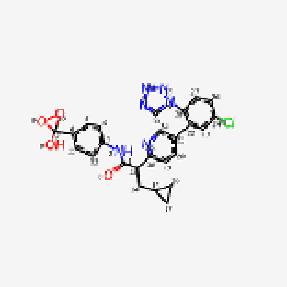 O=C(Nc1ccc(C2(O)OO2)cc1)C(CC1CC1)c1ccc(-c2cc(Cl)ccc2-n2cnnn2)cn1